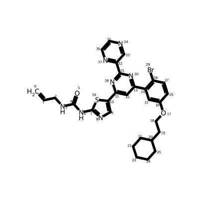 C=CCNC(=O)Nc1ncc(-c2cc(-c3cc(OCCC4CCCCC4)ccc3Br)nc(-c3cnccn3)n2)s1